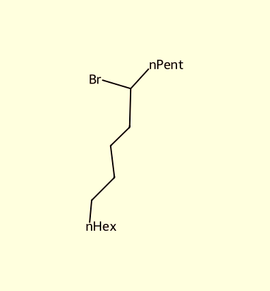 CCCCCCCCCCC(Br)CCCCC